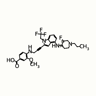 CCCN1CC[C@@H](Nc2cccc3c2cc(C#CCNc2ccc(C(=O)O)cc2OC)n3CC(F)(F)F)[C@@H](F)C1